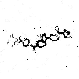 CC(C)N1CCN(C(=O)c2ccc3c(C4CCCN(C(=O)c5ccsc5)C4)c[nH]c3c2)CC1